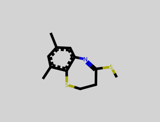 CSC1=Nc2cc(C)cc(C)c2SCC1